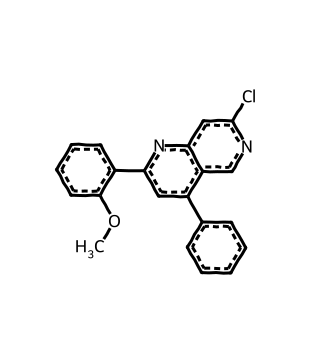 COc1ccccc1-c1cc(-c2ccccc2)c2cnc(Cl)cc2n1